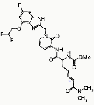 COC(=O)NC(CC/C=C/C(=O)N(C)C)C(=O)Nc1cccn(Cc2nc3c(OCC(F)F)cc(F)cc3[nH]2)c1=O